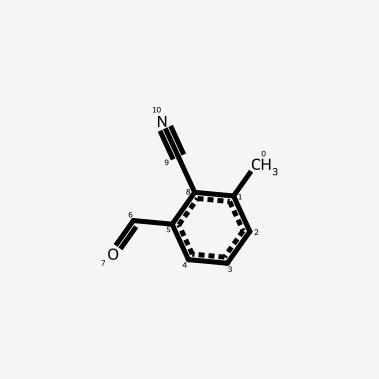 Cc1cccc(C=O)c1C#N